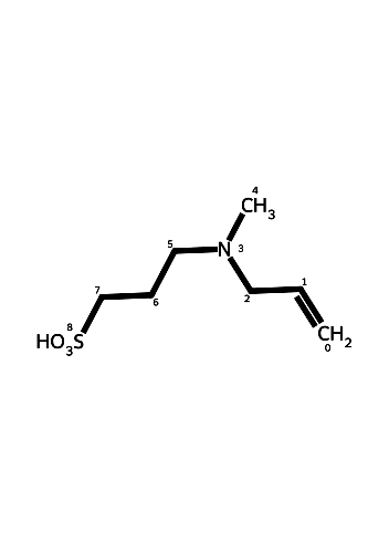 C=CCN(C)CCCS(=O)(=O)O